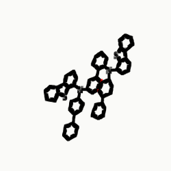 c1ccc(-c2ccc(N(c3cccc(-c4ccccc4N(c4ccc(-c5ccccc5)cc4)c4cccc5c4sc4ccccc45)c3)c3cccc4c3sc3ccccc34)cc2)cc1